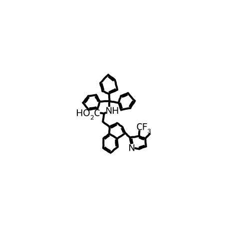 Cc1ccnc(-c2ccc(CC(NC(c3ccccc3)(c3ccccc3)c3ccccc3)C(=O)O)c3ccccc23)c1C(F)(F)F